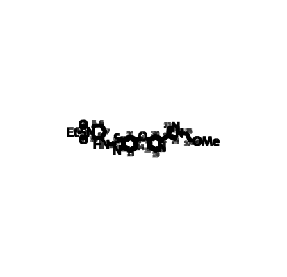 CCS(=O)(=O)N1CCCC(Nc2nc3ccc(Oc4ccnc(-c5cnn(CCOC)c5)c4)cc3s2)C1